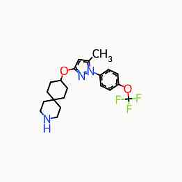 Cc1cc(OC2CCC3(CCNCC3)CC2)nn1-c1ccc(OC(F)(F)F)cc1